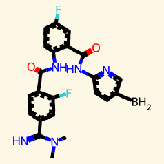 Bc1ccc(NC(=O)c2cc(F)ccc2NC(=O)c2ccc(C(=N)N(C)C)cc2F)nc1